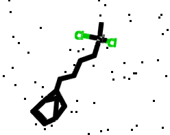 C[Si](Cl)(Cl)CCCCC1CC2C=CC1C2